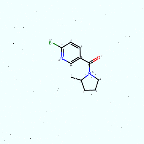 CC1CCCN1C(=O)c1ccc(Br)nc1